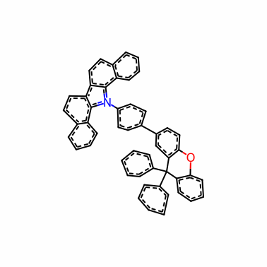 c1ccc(C2(c3ccccc3)c3ccccc3Oc3ccc(-c4ccc(-n5c6c7ccccc7ccc6c6ccc7ccccc7c65)cc4)cc32)cc1